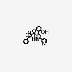 N=C(CC(NC(=O)c1cc(-c2ccccc2)on1)C1=C(O)CCC=C1)c1cccnc1